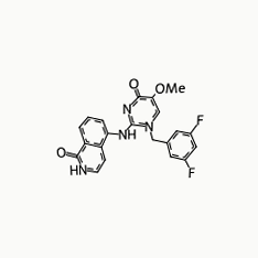 COc1cn(Cc2cc(F)cc(F)c2)c(Nc2cccc3c(=O)[nH]ccc23)nc1=O